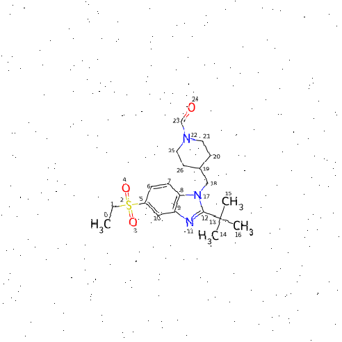 CCS(=O)(=O)c1ccc2c(c1)nc(C(C)(C)C)n2CC1CCN(C=O)CC1